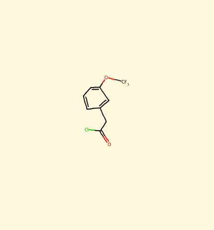 O=C(Cl)Cc1cccc(OC(F)(F)F)c1